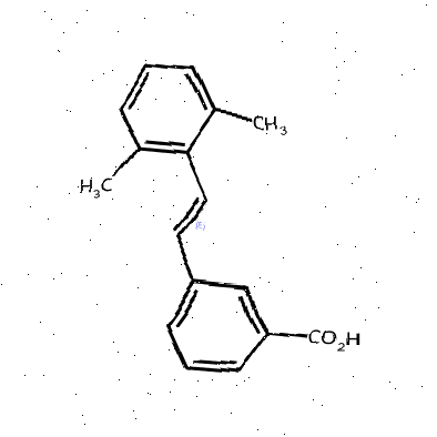 Cc1cccc(C)c1/C=C/c1cccc(C(=O)O)c1